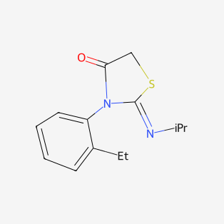 CCc1ccccc1N1C(=O)CS/C1=N\C(C)C